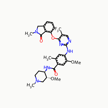 COc1cc(C(=O)N[C@@H]2CCN(C)C[C@H]2OC)c(C)cc1Nc1ncc(C(F)(F)F)c(Oc2cccc3c2C(=O)N(C)C3)n1